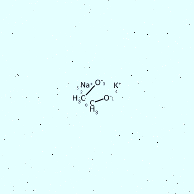 C[O-].C[O-].[K+].[Na+]